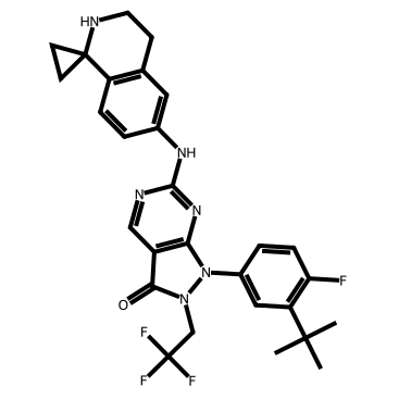 CC(C)(C)c1cc(-n2c3nc(Nc4ccc5c(c4)CCNC54CC4)ncc3c(=O)n2CC(F)(F)F)ccc1F